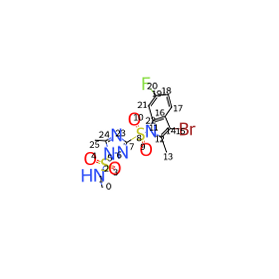 CNS(=O)(=O)n1nc(S(=O)(=O)n2c(C)c(Br)c3ccc(F)cc32)nc1C